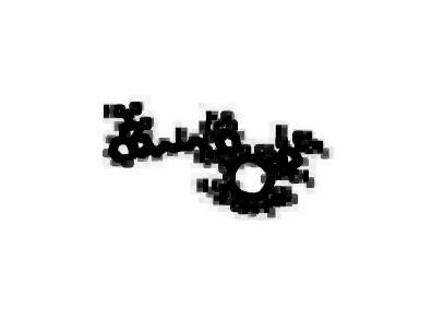 CC[C@H]1OC(=O)[C@H](C)[C@@H](O[C@H]2C[C@@](C)(OC)[C@@H](OC(=O)CCNCCCc3cc4c5c(c3)c(=O)c(C(=O)O)cn5CCCO4)[C@H](C)O2)[C@H](C)[C@@H](O[C@@H]2O[C@H](C)C[C@H](N(C)C)[C@H]2O)[C@](C)(O)C[C@@H](C)/C(=N\O)[C@H](C)[C@@H](O)[C@]1(C)O